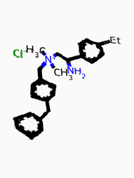 CCc1ccc(C(N)C[N+](C)(C)Cc2ccc(Cc3ccccc3)cc2)cc1.[Cl-]